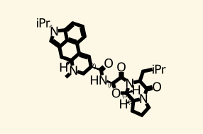 CC(C)CC1C(=O)N2CCC[C@H]2[C@@H]2O[C@@H](NC(=O)[C@@H]3C=C4c5cccc6c5c(cn6C(C)C)C[C@H]4N(C)C3)C(=O)N12